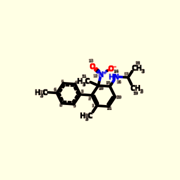 CC1=C(c2ccc(C)cc2)C(C)([N+](=O)[O-])C(NC(C)C)C=C1